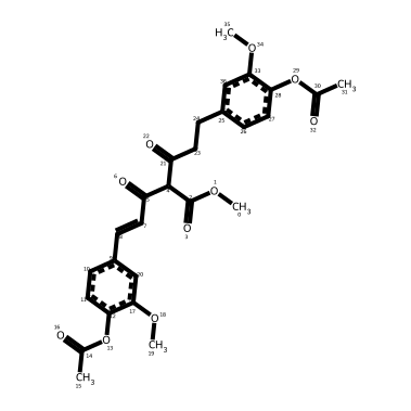 COC(=O)C(C(=O)/C=C/c1ccc(OC(C)=O)c(OC)c1)C(=O)CCc1ccc(OC(C)=O)c(OC)c1